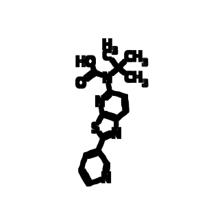 CC(C)(C)N(C(=O)O)c1ccc2nc(-c3cccnc3)sc2n1